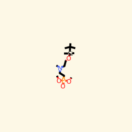 COP(=O)(CCN(C)CCO[Si](C)(C)C(C)(C)C)OC